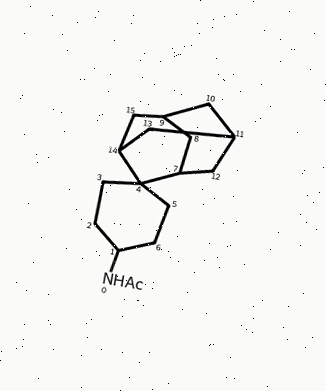 CC(=O)NC1CCC2(CC1)C1CC3CC(C1)CC2C3